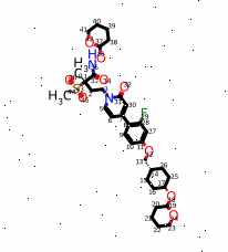 C[C@@](CCn1ccc(-c2ccc(OC[C@H]3CC[C@H](OC4CCCCO4)CC3)cc2F)cc1=O)(C(=O)NOC1CCCCO1)S(C)(=O)=O